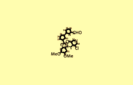 COc1ccc([C@H](Cc2c(Cl)cncc2Cl)OC(=O)c2cccc(-c3cccc(C=O)c3)c2)cc1OC